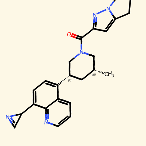 C[C@@H]1C[C@H](c2ccc(C3C=N3)c3ncccc23)CN(C(=O)c2cc3n(n2)CCC3)C1